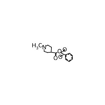 CN1CCC(C(=O)OS(=O)(=O)c2ccccc2)CC1